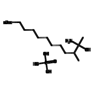 CCCCCCCCCCCCCCCCCCC(C)C(C)(N)O.O=P(O)(O)O